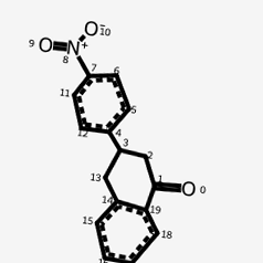 O=C1CC(c2ccc([N+](=O)[O-])cc2)Cc2ccccc21